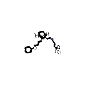 O=C(O)/C=C/C/C=C\C[C@H]1[C@H](CCCCOC2CCCCC2)[C@@H]2CC[C@@H]1O2